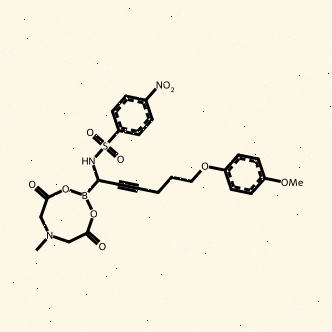 COc1ccc(OCCCC#CC(NS(=O)(=O)c2ccc([N+](=O)[O-])cc2)B2OC(=O)CN(C)CC(=O)O2)cc1